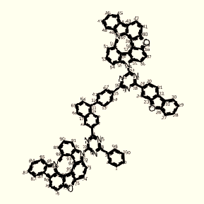 c1ccc(-c2nc(-c3ccc4c(-c5ccc(-c6nc(-c7ccc8c(c7)oc7ccccc78)nc(-n7c8ccc9oc%10ccc%11c%12ccccc%12n%12c%13cccc7c%13c8c9c%10c%11%12)n6)cc5)cccc4c3)nc(-n3c4ccc5oc6ccc7c8ccccc8n8c9cccc3c9c4c5c6c78)n2)cc1